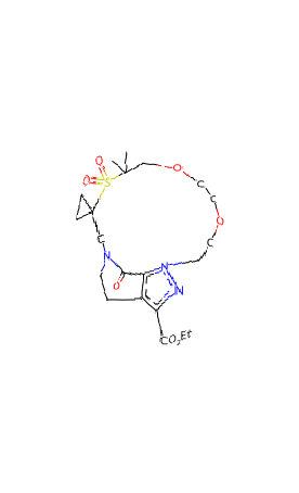 CCOC(=O)c1nn2c3c1CCN(CC1(CC1)S(=O)(=O)C(C)(C)COCCOCC2)C3=O